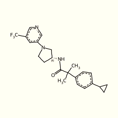 CC(C)(C(=O)N[C@@H]1CCN(c2cncc(C(F)(F)F)c2)C1)c1ccc(C2CC2)cc1